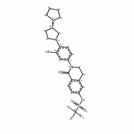 O=C1c2ccc(OS(=O)(=O)C(F)(F)F)cc2CCN1c1ccc(N2CC[C@@H](N3CCCC3)C2)c(F)c1